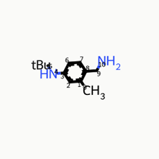 Cc1cc(NC(C)(C)C)ccc1CN